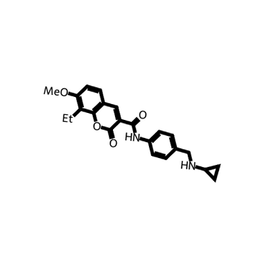 CCc1c(OC)ccc2cc(C(=O)Nc3ccc(CNC4CC4)cc3)c(=O)oc12